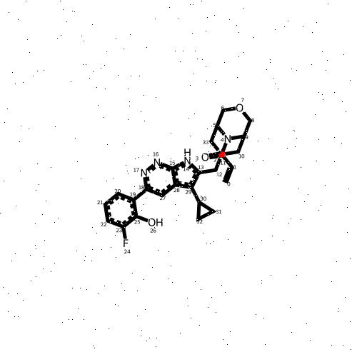 C=CC(=O)N1C2COCC1CN(Cc1[nH]c3nnc(-c4cccc(F)c4O)cc3c1C1CC1)C2